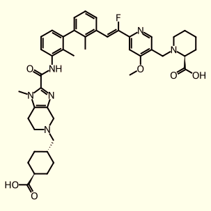 COc1cc(/C(F)=C/c2cccc(-c3cccc(NC(=O)c4nc5c(n4C)CCN(C[C@H]4CC[C@H](C(=O)O)CC4)C5)c3C)c2C)ncc1CN1CCCC[C@H]1C(=O)O